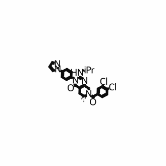 CC(C)Nc1nc2c(c(=O)n1-c1ccc(-n3cccn3)cc1)C[C@@H](C)N(C(=O)c1ccc(Cl)c(Cl)c1)C2